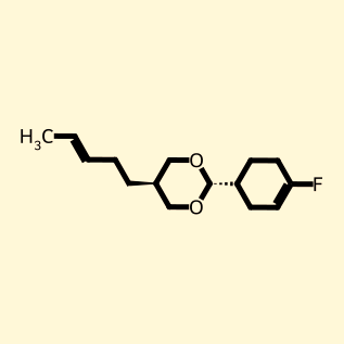 C/C=C/CC[C@H]1CO[C@H](C2CC=C(F)CC2)OC1